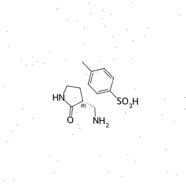 Cc1ccc(S(=O)(=O)O)cc1.NC[C@H]1CCNC1=O